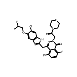 O=C(Cn1nc(Cc2nc3cc(OCC(F)F)c(Cl)cc3[nH]2)c2c(F)ccc(F)c2c1=O)N1CCOCC1